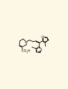 Cc1ccoc1C(=CCCN1CCC=C(C(=O)O)C1)c1sccc1C